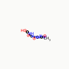 C[N+](=O)c1ccc(N2CCN(C(=O)CN3CCC(C(=O)Nc4ccc(O)cc4)C3)CC2)nc1